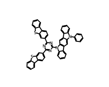 c1ccc(-n2c3ccccc3c3cc4c(cc32)c2ccccc2n4-c2nc(-c3ccc4c(c3)sc3ccccc34)nc(-c3ccc4c(c3)sc3ccccc34)n2)cc1